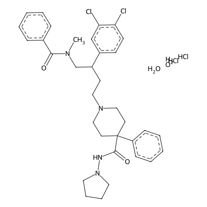 CN(CC(CCN1CCC(C(=O)NN2CCCC2)(c2ccccc2)CC1)c1ccc(Cl)c(Cl)c1)C(=O)c1ccccc1.Cl.Cl.O.O